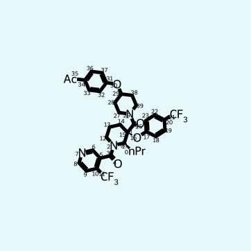 CCC[C@H]1N(C(=O)c2cnccc2C(F)(F)F)CCC[C@@]1(Oc1ccc(C(F)(F)F)cc1)C(=O)N1CCC(Oc2ccc(C(C)=O)cc2)CC1